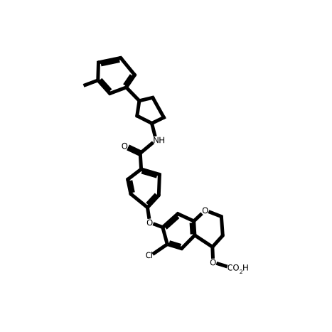 Cc1cccc(C2CCC(NC(=O)c3ccc(Oc4cc5c(cc4Cl)C(OC(=O)O)CCO5)cc3)C2)c1